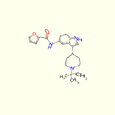 CC(C)(C)N1CCC(c2c[nH]c3ccc(NC(=O)c4ccco4)cc23)CC1